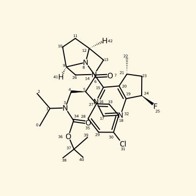 CC(C)N(C[C@@H](C(=O)N1[C@@H]2CC[C@H]1CN(c1ncnc3c1[C@H](C)C[C@H]3F)C2)c1ccc(Cl)cc1)C(=O)OC(C)(C)C